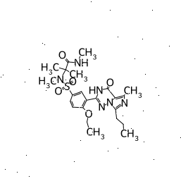 CCCc1nc(C)c2c(=O)[nH]c(-c3cc(S(=O)(=O)N(C)C(C)(C)C(=O)NC)ccc3OCC)nn12